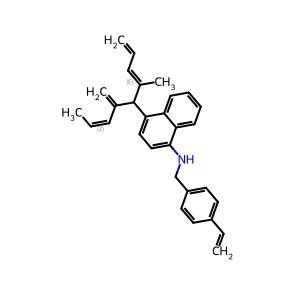 C=C/C=C(\C)C(C(=C)/C=C\C)c1ccc(NCc2ccc(C=C)cc2)c2ccccc12